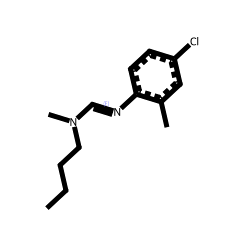 CCCCN(C)/C=N/c1ccc(Cl)cc1C